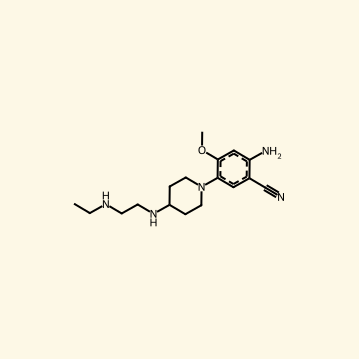 CCNCCNC1CCN(c2cc(C#N)c(N)cc2OC)CC1